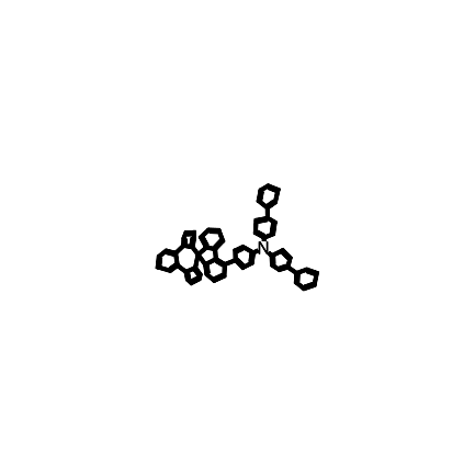 c1ccc(-c2ccc(N(c3ccc(-c4ccccc4)cc3)c3ccc(-c4cccc5c4-c4ccccc4C54c5ccccc5-c5ccccc5-c5ccccc54)cc3)cc2)cc1